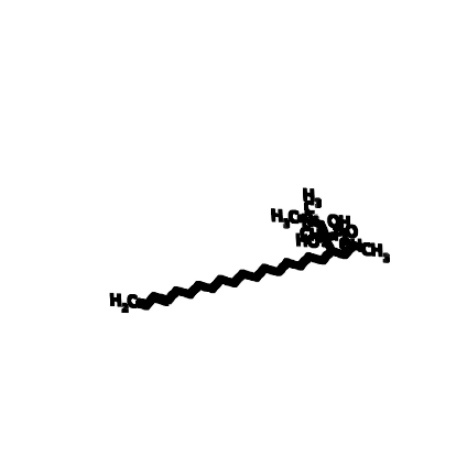 C=C/C=C/CCCCCCCCCCCCCCC(CCC)C(O)(C[N+](C)(C)C)P(=O)(O)O